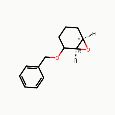 c1ccc(COC2CCC[C@H]3O[C@@H]23)cc1